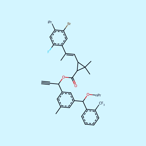 C#CC(OC(=O)C1C(C=C(C)c2cc(Br)c(C(C)C)cc2F)C1(C)C)c1cc(C)cc(C(OCCC)c2ccccc2C(F)(F)F)c1